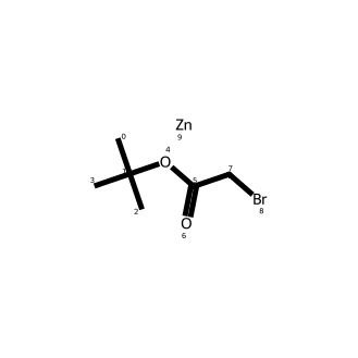 CC(C)(C)OC(=O)[CH]Br.[Zn]